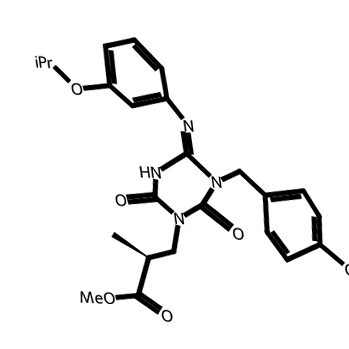 COC(=O)[C@@H](C)Cn1c(=O)[nH]/c(=N\c2cccc(OC(C)C)c2)n(Cc2ccc(Cl)cc2)c1=O